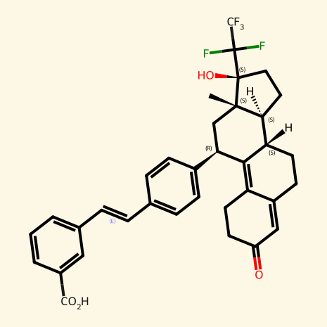 C[C@]12C[C@H](c3ccc(/C=C/c4cccc(C(=O)O)c4)cc3)C3=C4CCC(=O)C=C4CC[C@H]3[C@@H]1CC[C@@]2(O)C(F)(F)C(F)(F)F